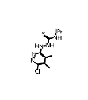 Cc1c(Cl)nnc(NNC(=S)NC(C)C)c1C